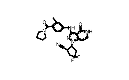 Cc1cc(Nc2nn(C3CC(F)(F)CC3C#N)c3cc[nH]c(=O)c23)ccc1C(=O)N1CCCC1